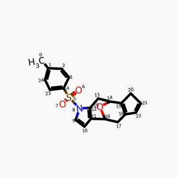 Cc1ccc(S(=O)(=O)n2ccc3c2CC2OC3CC3=C2CC=C3)cc1